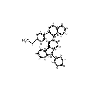 CCc1ccc(-c2ccc3ccccc3c2-c2ccc3c(c2)c2ccccc2n3-c2ccccc2)cc1